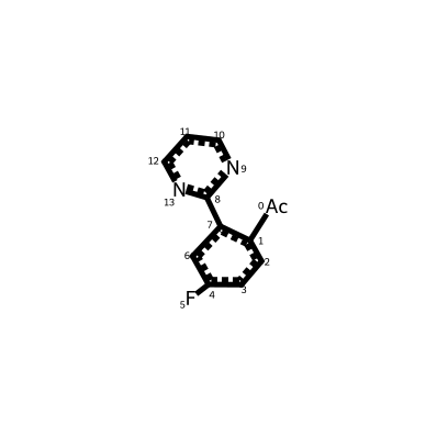 CC(=O)c1ccc(F)cc1-c1ncccn1